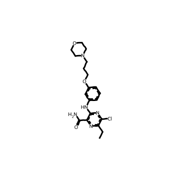 CCc1nc(C(N)=O)c(Nc2cccc(OCCCN3CCOCC3)c2)nc1Cl